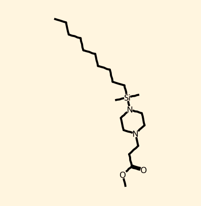 CCCCCCCCCC[Si](C)(C)N1CCN(CCC(=O)OC)CC1